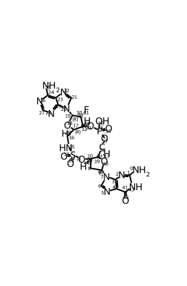 Nc1nc2c(ncn2[C@H]2C[C@@H]3OS(=O)(=O)NC[C@H]4O[C@@H](n5cnc6c(N)ncnc65)[C@H](F)[C@@H]4OP(=O)(O)OC[C@H]3O2)c(=O)[nH]1